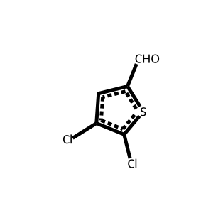 O=Cc1cc(Cl)c(Cl)s1